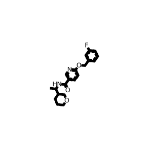 CC(NC(=O)c1ccc(OCc2cccc(F)c2)nc1)C1CCCOC1